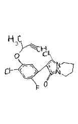 C#CC(C)Oc1cc(-c2c(Cl)n3n(c2=O)CCCC3)c(F)cc1Cl